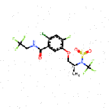 C[C@@H](COc1cc(C(=O)NCC(F)(F)F)c(Cl)cc1F)N([SH](=O)=O)C(F)(F)F